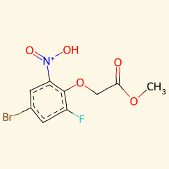 COC(=O)COc1c(F)cc(Br)cc1[N+](=O)O